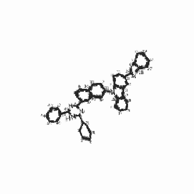 C1=CCC(C2N=C(c3ccc4ccc(-n5c6ccccc6c6cc(-c7nc8ccccc8s7)ccc65)cc4c3)N=C(c3ccccc3)N2)C=C1